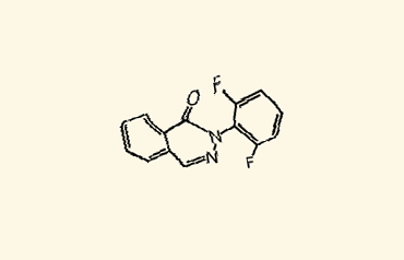 O=c1c2ccccc2cnn1-c1c(F)cccc1F